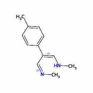 C/N=C\C(=C/NC)c1ccc(C)cc1